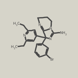 CCc1cc(C2(c3cccc(Br)c3)N=C(N)N3CCCN=C32)cc(CC)n1